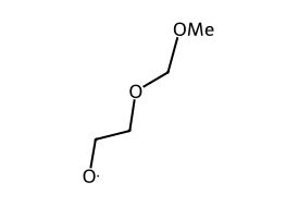 COCOCC[O]